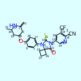 C=C1C[C@H](Oc2ccc(N3C(=S)N(c4cnc(C#N)c(C(F)(F)F)c4)C(=O)C34CCC4)cc2)CC(C)N1